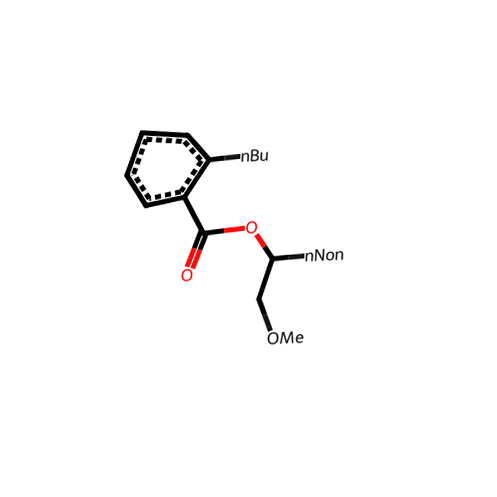 CCCCCCCCCC(COC)OC(=O)c1ccccc1CCCC